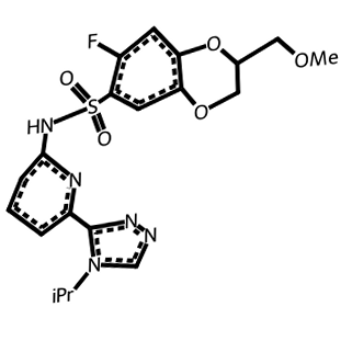 COCC1COc2cc(S(=O)(=O)Nc3cccc(-c4nncn4C(C)C)n3)c(F)cc2O1